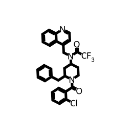 O=C(c1ccccc1Cl)N1CCC(N(Cc2ccnc3ccccc23)C(=O)C(F)(F)F)CC1Cc1ccccc1